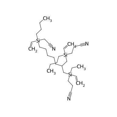 C=C[Si](CC#N)(CCCC)CCCCCC(C[Si](C=C)(CC)CCC#N)C[Si](C=C)(CCC#N)CCCC